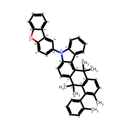 Cc1ccccc1-c1c(C)ccc2c1C(C)(C)c1ccc3c(c1C2(C)C)c1ccccc1n3-c1ccc2oc3ccccc3c2c1